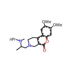 CCCN(C)C(C)CN1CCc2c(c(=O)oc3cc(OC)c(OC)cc23)C1